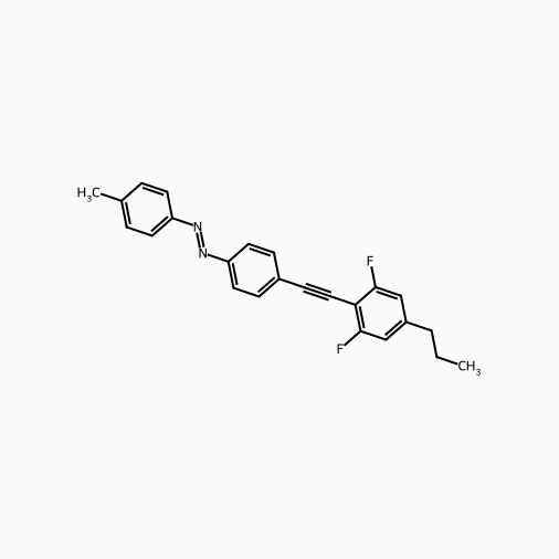 CCCc1cc(F)c(C#Cc2ccc(N=Nc3ccc(C)cc3)cc2)c(F)c1